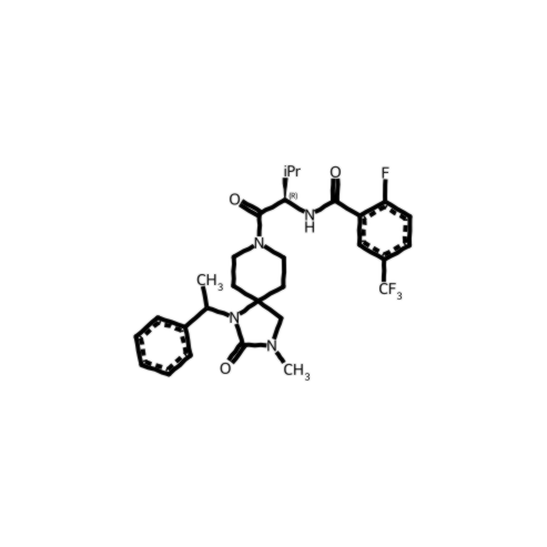 CC(C)[C@@H](NC(=O)c1cc(C(F)(F)F)ccc1F)C(=O)N1CCC2(CC1)CN(C)C(=O)N2C(C)c1ccccc1